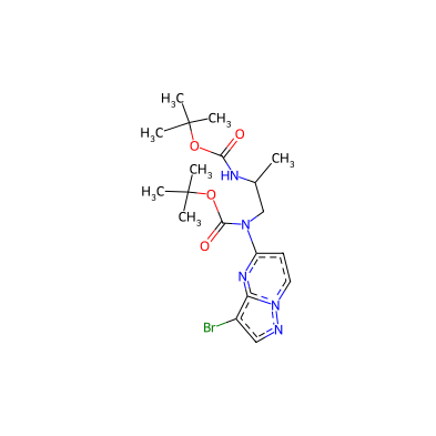 CC(CN(C(=O)OC(C)(C)C)c1ccn2ncc(Br)c2n1)NC(=O)OC(C)(C)C